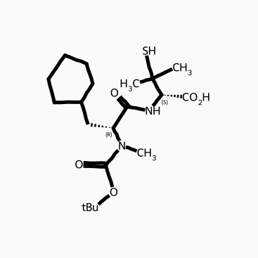 CN(C(=O)OC(C)(C)C)[C@H](CC1CCCCC1)C(=O)N[C@@H](C(=O)O)C(C)(C)S